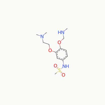 CNCOc1ccc(NS(C)(=O)=O)cc1OCCN(C)C